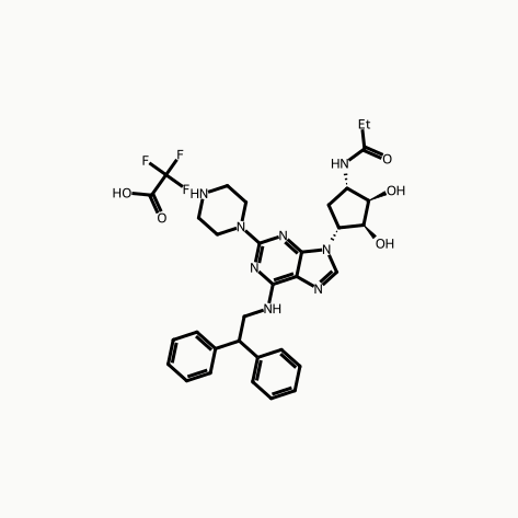 CCC(=O)N[C@H]1C[C@@H](n2cnc3c(NCC(c4ccccc4)c4ccccc4)nc(N4CCNCC4)nc32)[C@H](O)[C@@H]1O.O=C(O)C(F)(F)F